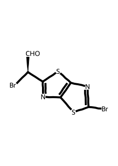 O=C[C@H](Br)c1nc2sc(Br)nc2s1